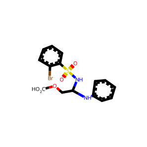 O=C(O)OCC(Nc1ccccc1)NS(=O)(=O)c1ccccc1Br